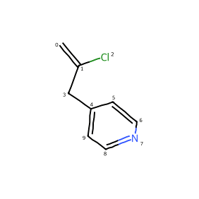 C=C(Cl)Cc1ccncc1